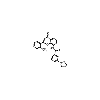 O=C(Nc1cccc2c(=O)cc(-c3ccccc3C(F)(F)F)oc12)c1cccc(N2CCCC2)c1